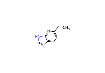 CCc1ccc2nc[nH]c2n1